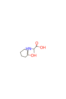 CC(NC1=C(O)CCCC1)C(=O)O